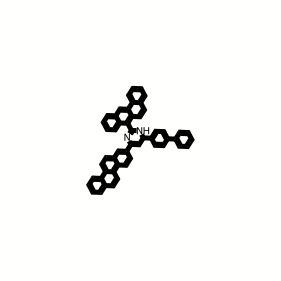 C1=C(c2ccc3c(ccc4c5ccccc5ccc34)c2)N=C(c2c3ccccc3cc3c2ccc2ccccc23)NC1c1ccc(-c2ccccc2)cc1